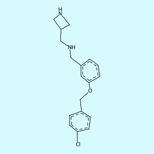 Clc1ccc(COc2cccc(CNCC3CNC3)c2)cc1